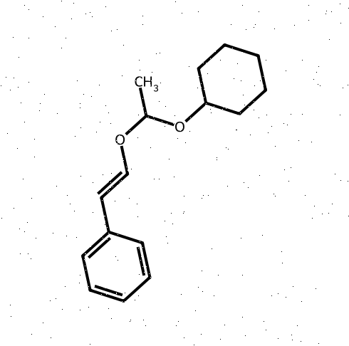 CC(OC=Cc1ccccc1)OC1CCCCC1